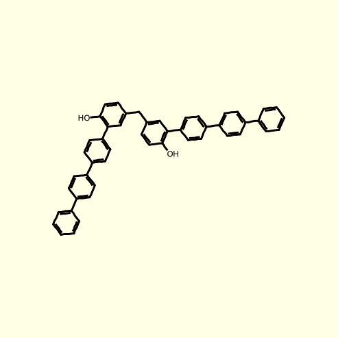 Oc1ccc(Cc2ccc(O)c(-c3ccc(-c4ccc(-c5ccccc5)cc4)cc3)c2)cc1-c1ccc(-c2ccc(-c3ccccc3)cc2)cc1